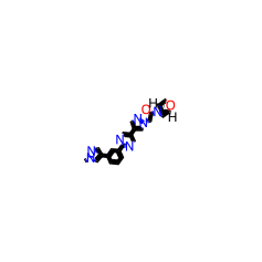 Cn1cc(-c2cccc(-c3ncc(-c4cnn(CC(=O)N5C[C@@H]6C[C@H]5CO6)c4)cn3)c2)cn1